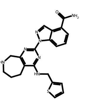 NC(=O)c1cccc2c1cnn2-c1nc2c(c(NCc3cccs3)n1)CCCNC2